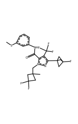 CSc1cccc(NC(=O)c2c(C(F)(F)F)c(C34CC(F)(C3)C4)nn2CC2(C)CC(F)(F)C2)c1